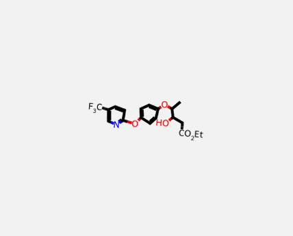 CCOC(=O)CC(O)C(C)Oc1ccc(Oc2ccc(C(F)(F)F)cn2)cc1